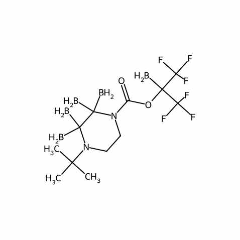 BC1(B)N(C(=O)OC(B)(C(F)(F)F)C(F)(F)F)CCN(C(C)(C)C)C1(B)B